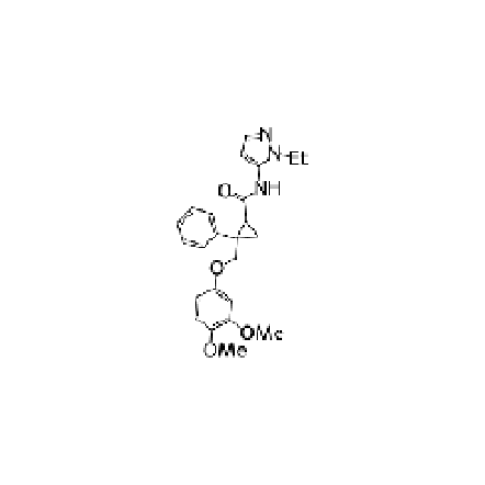 CCn1nccc1NC(=O)C1CC1(COc1ccc(OC)c(OC)c1)c1ccccc1